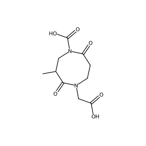 CC1CN(C(=O)O)C(=O)CCN(CC(=O)O)C1=O